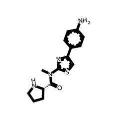 CN(C(=O)[C@@H]1CCCN1)c1nc(-c2ccc(N)cc2)cs1